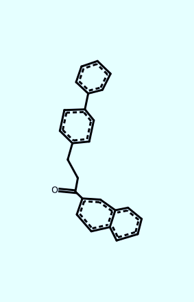 O=C(CCc1ccc(-c2ccccc2)cc1)c1ccc2ccccc2c1